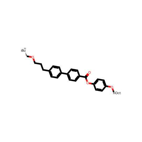 CCCCCCCCOc1ccc(OC(=O)c2ccc(-c3ccc(CCCOC[C@@H](C)CC)cc3)cc2)cc1